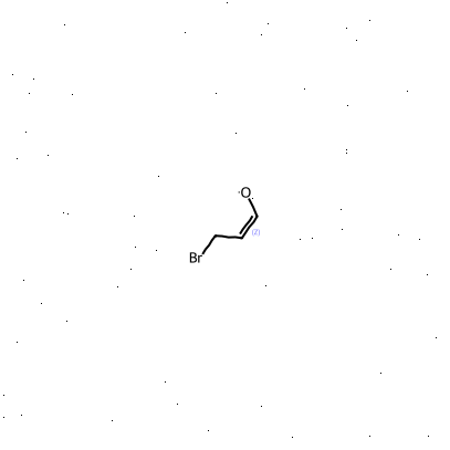 [O]/C=C\CBr